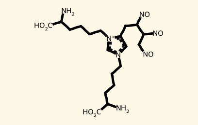 NC(CCCCn1cc(CC(N=O)C(CN=O)N=O)[n+](CCCCC(N)C(=O)O)c1)C(=O)O